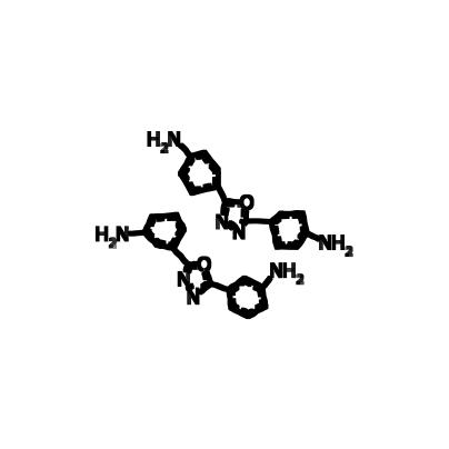 Nc1ccc(-c2nnc(-c3ccc(N)cc3)o2)cc1.Nc1cccc(-c2nnc(-c3cccc(N)c3)o2)c1